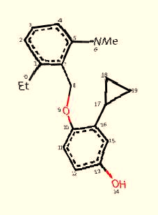 CCc1cccc(NC)c1COc1ccc(O)cc1C1CC1